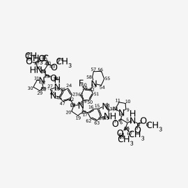 COC(=O)NC(C(=O)N1CCC[C@H]1c1nc2cc(C3CC[C@@H](c4ccc5[nH]c([C@@H]6CCCN6C(=O)[C@@H](NC(=O)OC)[C@@H](C)OC)nc5c4)N3c3ccc(N4CCCCC4)c(F)c3)ccc2[nH]1)[C@@H](C)OC